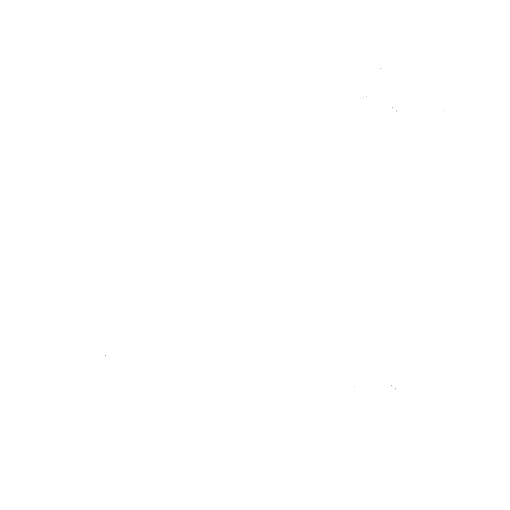 c1ccc(-c2ccccc2-n2c3ccc(-c4ccc(-c5ccc(-n6c7ccccc7c7ccccc76)cc5)cc4)cc3c3cc(-c4ccc(-c5ccc(-n6c7ccccc7c7ccccc76)cc5)cc4)ccc32)cc1